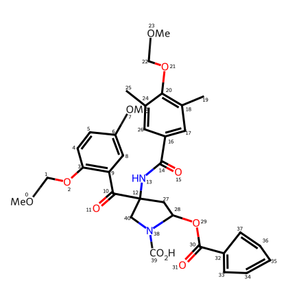 COCOc1ccc(OC)cc1C(=O)C1(NC(=O)c2cc(C)c(OCOC)c(C)c2)CC(OC(=O)c2ccccc2)N(C(=O)O)C1